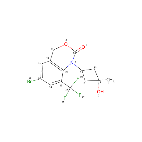 CC1(O)CC(N2C(=O)OCc3cc(Br)cc(C(F)(F)F)c32)C1